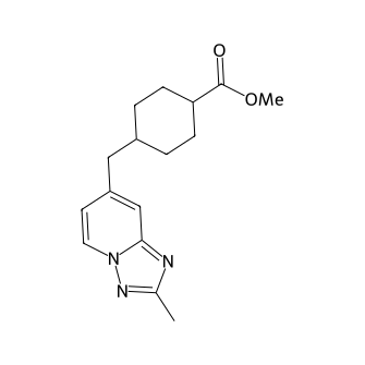 COC(=O)C1CCC(Cc2ccn3nc(C)nc3c2)CC1